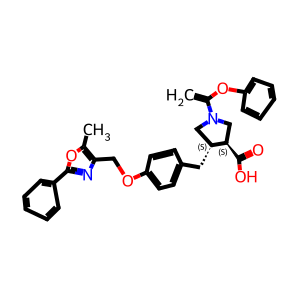 C=C(Oc1ccccc1)N1C[C@@H](Cc2ccc(OCc3nc(-c4ccccc4)oc3C)cc2)[C@H](C(=O)O)C1